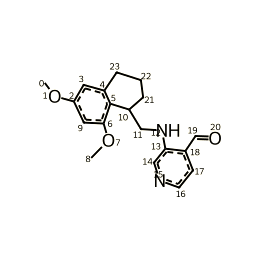 COc1cc2c(c(OC)c1)C(CNc1cnccc1C=O)CCC2